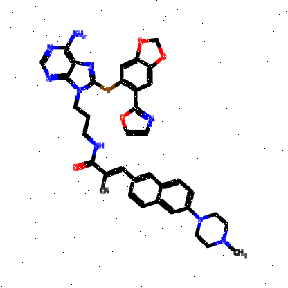 CN1CCN(c2ccc3cc(/C=C(\C#N)C(=O)NCCCn4c(Sc5cc6c(cc5-c5ncco5)OCO6)nc5c(N)ncnc54)ccc3c2)CC1